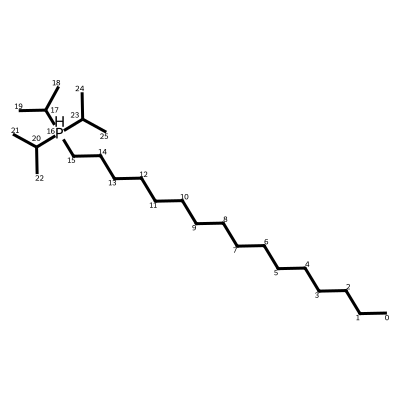 CCCCCCCCCCCCCCCC[PH](C(C)C)(C(C)C)C(C)C